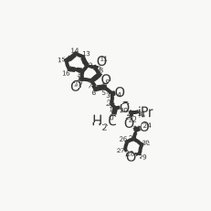 C=C(CC(=O)c1cc2c(o1)C(=O)c1ccccc1C2=O)OC(OC(=O)C1CCOCC1)C(C)C